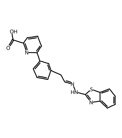 O=C(O)c1cccc(-c2cccc(CC=NNc3nc4ccccc4s3)c2)n1